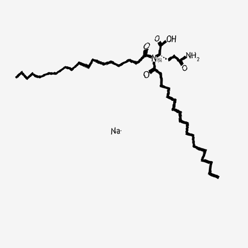 CCCCCCCCCCCCCCCCCC(=O)N(C(=O)CCCCCCCCCCCCCCCCC)[C@@H](CCC(N)=O)C(=O)O.[Na]